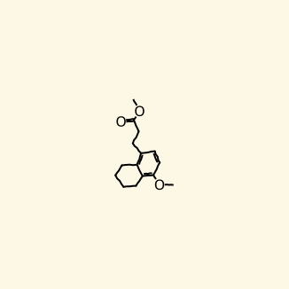 COC(=O)CCc1ccc(OC)c2c1CCCC2